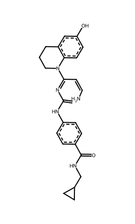 C=C(/N=C(\C=C/N)N1CCCc2cc(O)ccc21)Nc1ccc(C(=O)NCC2CC2)cc1